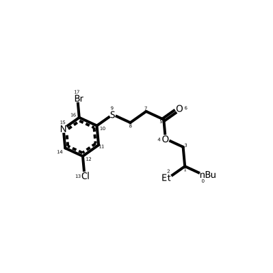 CCCCC(CC)COC(=O)CCSc1cc(Cl)cnc1Br